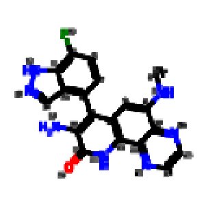 CC(C)Nc1cc2c(-c3ccc(F)c4[nH]ncc34)c(N)c(=O)[nH]c2c2nccnc12